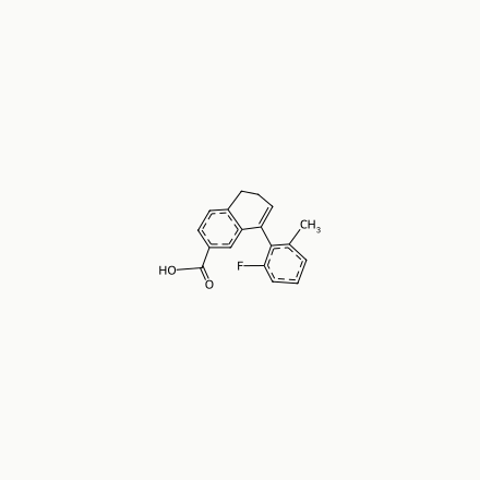 Cc1cccc(F)c1C1=CCCc2ccc(C(=O)O)cc21